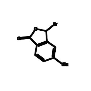 CC(C)(C)c1ccc2c(c1)C(Br)OC2=O